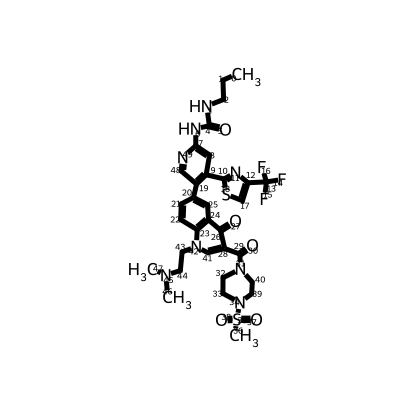 CCCNC(=O)Nc1cc(-c2nc(C(F)(F)F)cs2)c(-c2ccc3c(c2)c(=O)c(C(=O)N2CCN(S(C)(=O)=O)CC2)cn3CCN(C)C)cn1